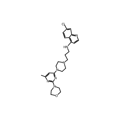 Cc1cc(N2CCN(CCCNc3ccnc4cc(Cl)ccc34)CC2)nc(N2CCOCC2)n1